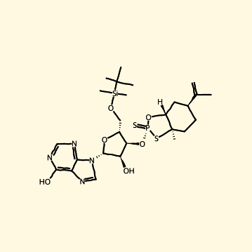 C=C(C)[C@H]1CC[C@@]2(C)S[P@](=S)(O[C@H]3[C@@H](O)[C@H](n4cnc5c(O)ncnc54)O[C@@H]3CO[Si](C)(C)C(C)(C)C)O[C@@H]2C1